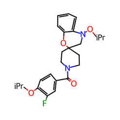 CC(C)Oc1ccc(C(=O)N2CCC3(CC2)CN(OC(C)C)c2ccccc2O3)cc1F